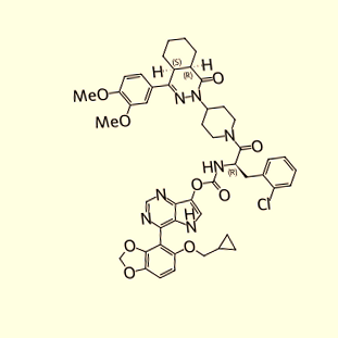 COc1ccc(C2=NN(C3CCN(C(=O)[C@@H](Cc4ccccc4Cl)NC(=O)Oc4c[nH]c5c(-c6c(OCC7CC7)ccc7c6OCO7)ncnc45)CC3)C(=O)[C@@H]3CCCC[C@H]23)cc1OC